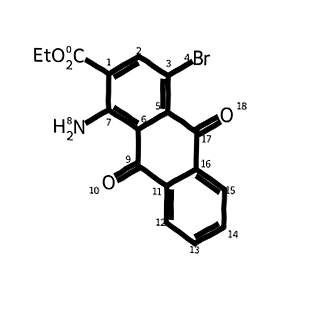 CCOC(=O)c1cc(Br)c2c(c1N)C(=O)c1ccccc1C2=O